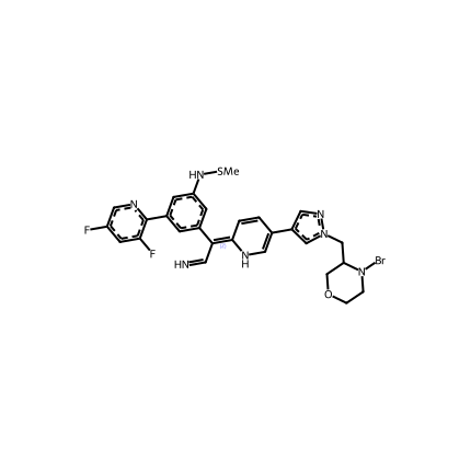 CSNc1cc(/C(C=N)=C2\C=CC(c3cnn(CC4COCCN4Br)c3)=CN2)cc(-c2ncc(F)cc2F)c1